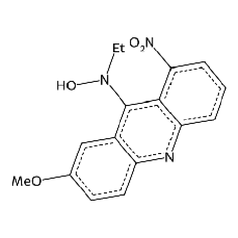 CCN(O)c1c2cc(OC)ccc2nc2cccc([N+](=O)[O-])c12